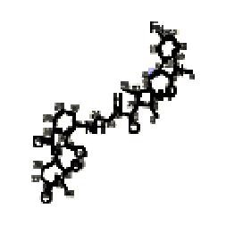 Cc1[nH]c(/C=C2\C(=O)N(C)c3ccc(F)cc32)c(C)c1C(=O)NCCNc1cccc2c1C(=O)N(C1CCC(=O)N(C)C1=O)C2=O